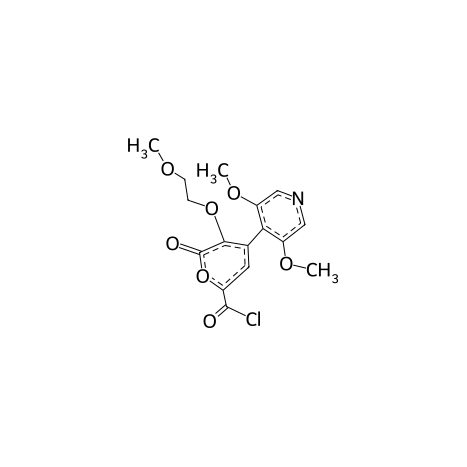 COCCOc1c(-c2c(OC)cncc2OC)cc(C(=O)Cl)oc1=O